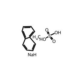 C.O=S(=O)(O)O.[NaH].c1ccc2ccccc2c1